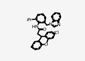 CC(C)c1cccc(Cn2cnc3ccccc32)c1NC(=O)CC1c2ccccc2Oc2ccccc21.Cl